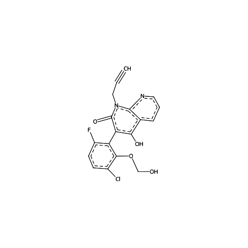 C#CCn1c(=O)c(-c2c(F)ccc(Cl)c2OCO)c(O)c2cccnc21